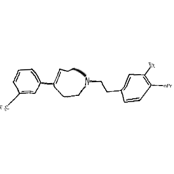 CCCc1ccc(CCN2CC=C(c3cccc(C(F)(F)F)c3)CC2)cc1CC